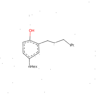 CCCCCCc1ccc(O)c(CCCC(C)C)c1